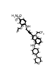 NS(=O)(=O)c1ccc(NCC#Cc2cc3c(N[C@H]4CC[C@H](N5CCOCC5)CC4)cccc3n2CC(F)(F)F)c(OCF)c1